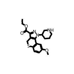 CCOC(=O)c1nn(C2CCCNC2)c2c1CSc1ccc(OC)cc1-2